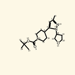 Cc1cc(C2CCN(C(=O)OC(C)(C)C)CC2)n(C2CCOC2)n1